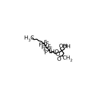 C=C(CC(CO)(CO)CO)C(=O)OCCCC(F)(F)C(F)(F)C(F)(F)C(F)(F)CCCCC